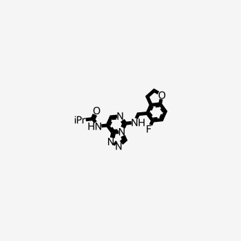 CC(C)C(=O)Nc1cnc(NCc2c(F)ccc3c2CCO3)n2cnnc12